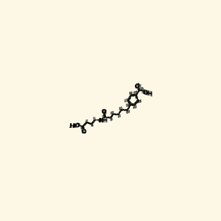 O=C(O)CCCNC(=O)CCCCCc1ccc(C(=O)O)cc1